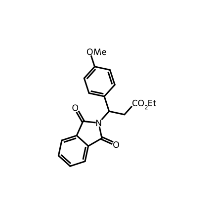 CCOC(=O)CC(c1ccc(OC)cc1)N1C(=O)c2ccccc2C1=O